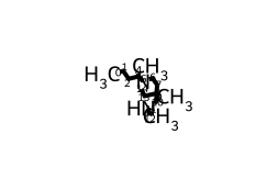 CCCC(C)N1CCC(C)(CNC)CC1